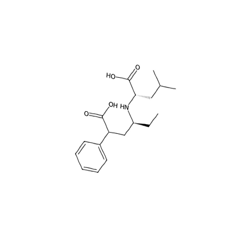 CC[C@@H](CC(C(=O)O)c1ccccc1)N[C@@H](CC(C)C)C(=O)O